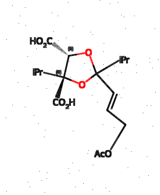 CC(=O)OCC=CC1(C(C)C)O[C@@H](C(=O)O)[C@@](C(=O)O)(C(C)C)O1